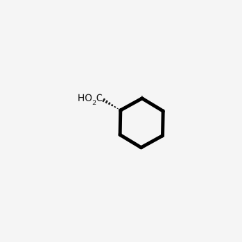 O=C(O)[C@@H]1[CH]CCCC1